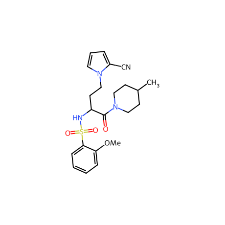 COc1ccccc1S(=O)(=O)NC(CCn1cccc1C#N)C(=O)N1CCC(C)CC1